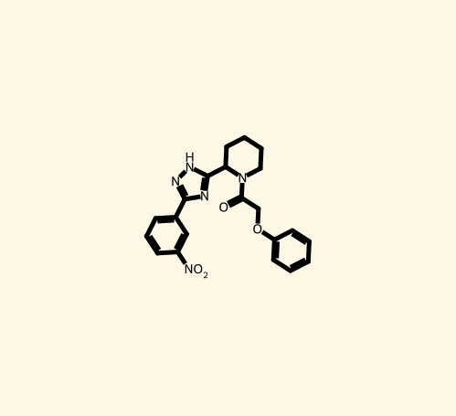 O=C(COc1ccccc1)N1CCCCC1c1nc(-c2cccc([N+](=O)[O-])c2)n[nH]1